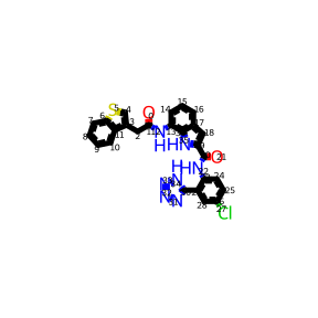 O=C(Cc1csc2ccccc12)Nc1cccc2cc(C(=O)Nc3ccc(Cl)cc3-c3nnn[nH]3)[nH]c12